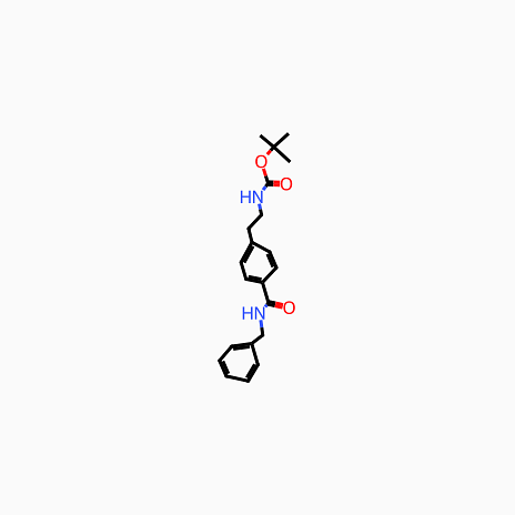 CC(C)(C)OC(=O)NCCc1ccc(C(=O)NCc2ccccc2)cc1